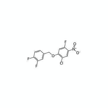 O=[N+]([O-])c1cc(Cl)c(OCc2ccc(F)c(F)c2)cc1F